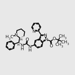 CN1CCCC[C@@H]1[C@H](NC(=O)Nc1ccc2c(c1)c(-c1ccccn1)nn2C(=O)OC(C)(C)C)c1ccccc1